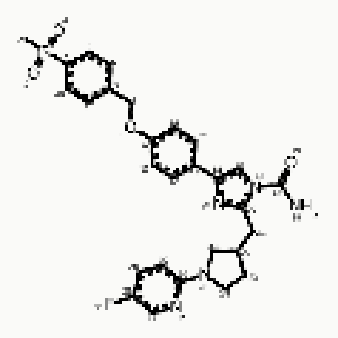 CS(=O)(=O)c1ccc(COc2ccc(-c3cn(C(N)=O)c(CC4CCN(c5ccc(F)cn5)C4)n3)cc2)cc1